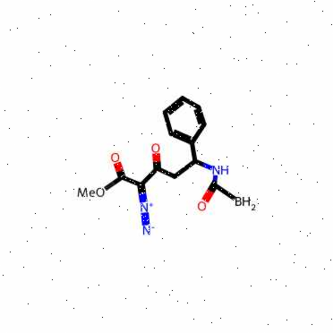 BC(=O)NC(CC(=O)C(=[N+]=[N-])C(=O)OC)c1ccccc1